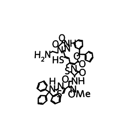 CON=C(C(=O)NC1C(=O)N2C(C(=O)OC(c3ccccc3)c3ccccc3)=C(C=C(S)c3n[nH]c(=O)c(=O)n3CCN)CSC12)c1csc(NC(c2ccccc2)(c2ccccc2)c2ccccc2)n1